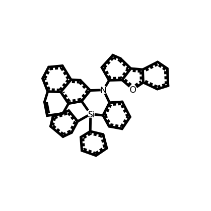 C1=Cc2cccc3cc4c(c(c23)C1)[Si](c1ccccc1)(c1ccccc1)c1ccccc1N4c1cccc2c1oc1ccccc12